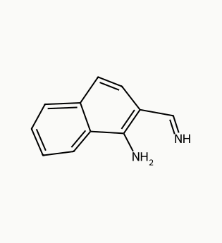 N=Cc1ccc2ccccc2c1N